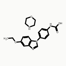 C1COCCN1.CCOc1ccc2c(c1)ncn2-c1ccc(NC(=O)O)cc1